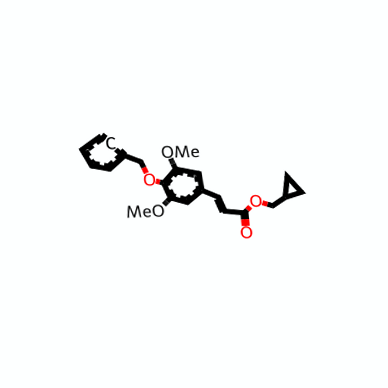 COc1cc(C=CC(=O)OCC2CC2)cc(OC)c1OCc1ccccc1